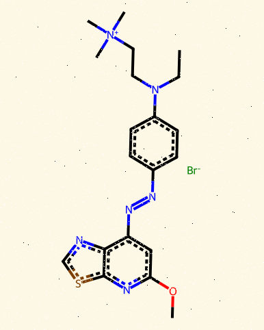 CCN(CC[N+](C)(C)C)c1ccc(N=Nc2cc(OC)nc3scnc23)cc1.[Br-]